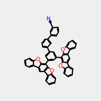 N#Cc1cccc(-c2cccc(-c3cc(-c4c5oc6ccccc6c5cc5c4oc4ccccc45)cc(-c4c5oc6ccccc6c5cc5c4oc4ccccc45)c3)c2)c1